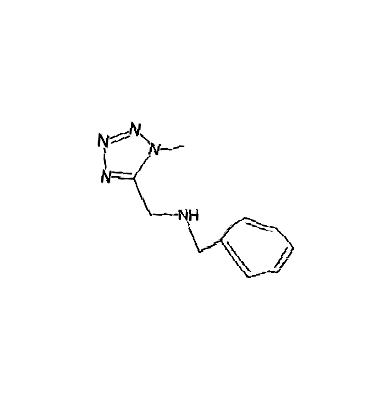 Cn1nnnc1CNCc1ccccc1